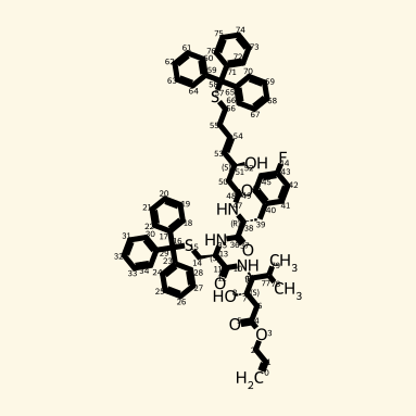 C=CCOC(=O)C[C@H](O)[C@H](NC(=O)[C@@H](CSC(c1ccccc1)(c1ccccc1)c1ccccc1)NC(=O)[C@@H](Cc1ccc(F)cc1)NC(=O)C[C@H](O)C=CCCSC(c1ccccc1)(c1ccccc1)c1ccccc1)C(C)C